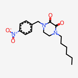 CCCCCCN1CCN(Cc2ccc([N+](=O)[O-])cc2)C(=O)C1=O